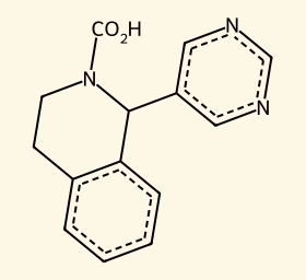 O=C(O)N1CCc2ccccc2C1c1cncnc1